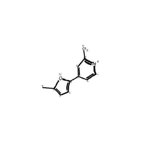 Cc1ccc(-c2ccnc(C(F)(F)F)c2)o1